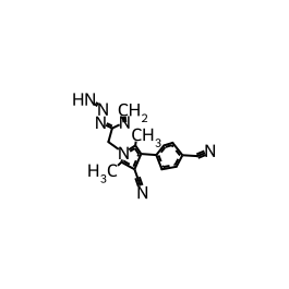 C=N/C(Cn1c(C)c(C#N)c(-c2ccc(C#N)cc2)c1C)=N\N=N